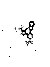 CN(C)C(=O)[C@H]1CCC2C(=C3C=NC(C(N)=O)C3=Cn3c2cc2ccccc23)C1